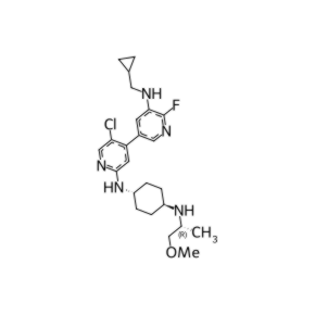 COC[C@@H](C)N[C@H]1CC[C@H](Nc2cc(-c3cnc(F)c(NCC4CC4)c3)c(Cl)cn2)CC1